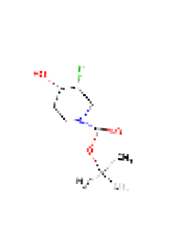 CC(C)(C)OC(=O)N1CC[C@H](O)[C@H](Cl)C1